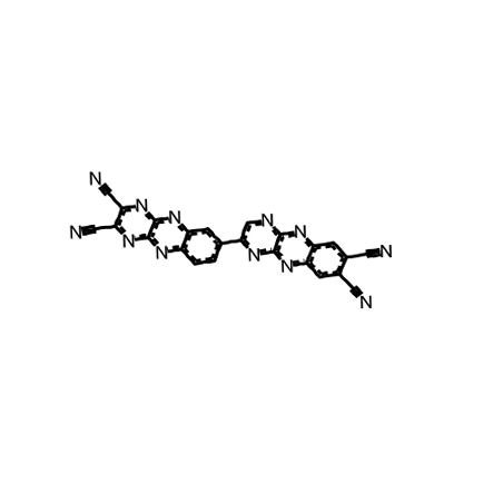 N#Cc1cc2nc3ncc(-c4ccc5nc6nc(C#N)c(C#N)nc6nc5c4)nc3nc2cc1C#N